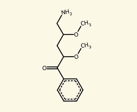 COC(CN)CC(OC)C(=O)c1ccccc1